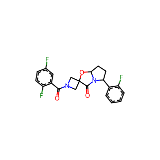 O=C(c1cc(F)ccc1F)N1CC2(C1)OC1CCC(c3ccccc3F)N1C2=O